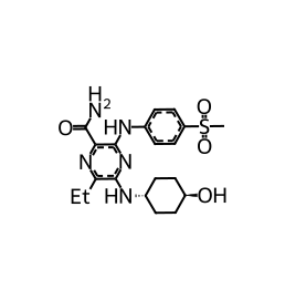 CCc1nc(C(N)=O)c(Nc2ccc(S(C)(=O)=O)cc2)nc1N[C@H]1CC[C@H](O)CC1